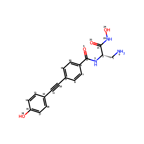 NC[C@H](NC(=O)c1ccc(C#Cc2ccc(O)cc2)cc1)C(=O)NO